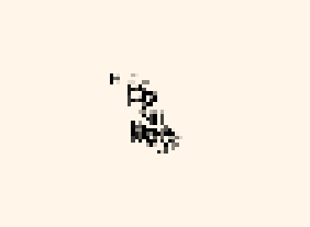 CC(F)(F)c1cccc(CNc2ncnc3cc(=O)n(C4(CF)CC4)cc23)c1F